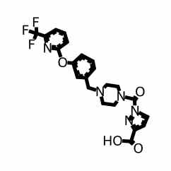 O=C(O)c1ccn(C(=O)N2CCN(Cc3cccc(Oc4cccc(C(F)(F)F)n4)c3)CC2)n1